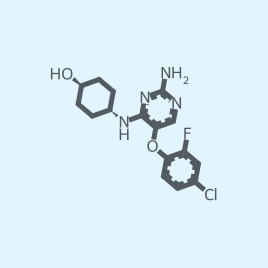 Nc1ncc(Oc2ccc(Cl)cc2F)c(N[C@H]2CC[C@H](O)CC2)n1